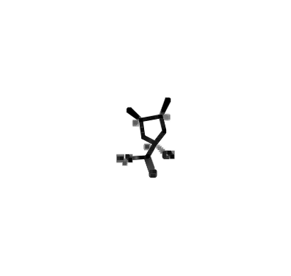 C[C@@H]1C[C@](C#N)(C(N)=O)C[C@@H]1C